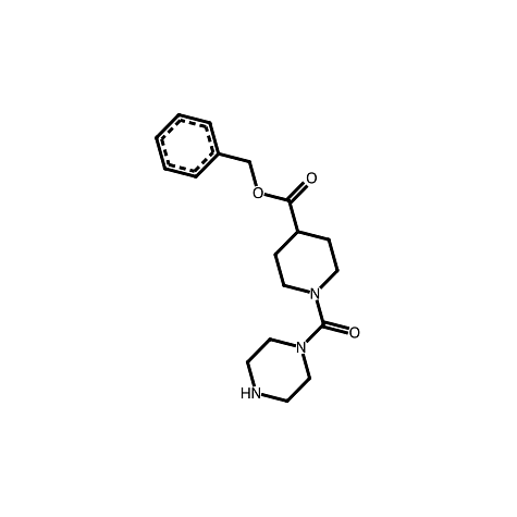 O=C(OCc1ccccc1)C1CCN(C(=O)N2CCNCC2)CC1